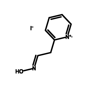 ON=CCC1=CC=CC=[N+]1.[I-]